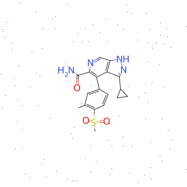 Cc1cc(-c2c(C(N)=O)ncc3[nH]nc(C4CC4)c23)ccc1S(C)(=O)=O